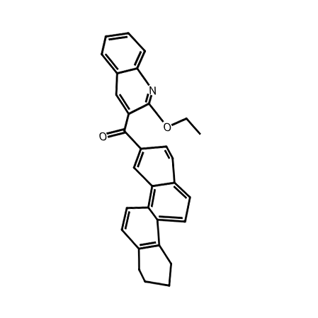 CCOc1nc2ccccc2cc1C(=O)c1ccc2ccc3c4c(ccc3c2c1)CCCC4